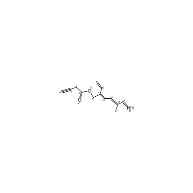 C#CCC(=O)OC/C(C=C)=C/C=C(\C)C=N